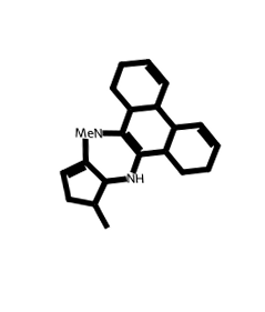 CNC1=C(NC2C(C)=CCC2C)C2CCC=CC2C2C=CCCC12